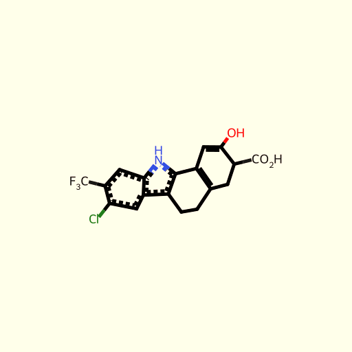 O=C(O)C1CC2=C(C=C1O)c1[nH]c3cc(C(F)(F)F)c(Cl)cc3c1CC2